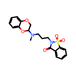 CN(CCCN1C(=O)c2ccccc2S1(=O)=O)C1COc2ccccc2O1